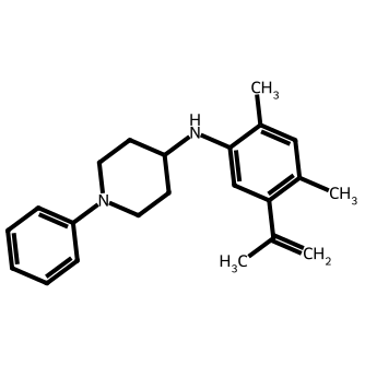 C=C(C)c1cc(NC2CCN(c3ccccc3)CC2)c(C)cc1C